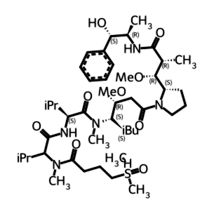 CC[C@H](C)[C@@H]([C@@H](CC(=O)N1CCC[C@H]1[C@H](OC)[C@@H](C)C(=O)N[C@H](C)[C@@H](O)c1ccccc1)OC)N(C)C(=O)[C@@H](NC(=O)C(C(C)C)N(C)C(=O)CCC[SH](C)(C)=O)C(C)C